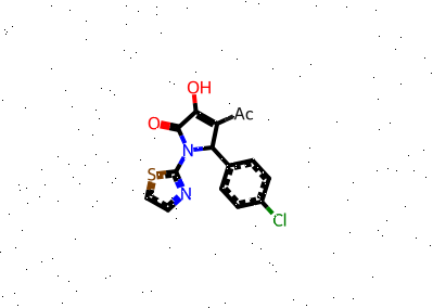 CC(=O)C1=C(O)C(=O)N(c2nccs2)C1c1ccc(Cl)cc1